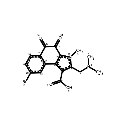 CN(C)Cc1c(C(=O)O)c2c(n1C)C(=O)C(=O)c1ccc(Br)cc1-2